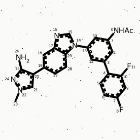 CC(=O)Nc1cc(-c2ccc(F)cc2F)cc(-n2cnc3cc(-c4cn(C)nc4N)ccc32)c1